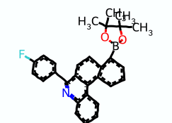 CC1(C)OB(c2cccc3c2ccc2c(-c4ccc(F)cc4)nc4ccccc4c23)OC1(C)C